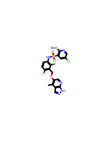 COc1ncc(Cl)cc1S(=O)(=O)Nc1ccc(F)c(COc2cnc3[nH]ncc3c2C)c1F